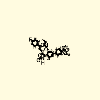 CCCCOC1=CC(C2C=CC(P(=O)(OC)OC)=CC2)=CCC1[C@H]1NC(=O)O[C@@H]1CC[C@H](O)C1=CC=C(F)CC1